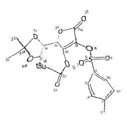 Cc1ccc(S(=O)(=O)OC2=C(OC(=O)C(C)(C)C)[C@H]([C@@H]3COC(C)(C)O3)OC2=O)cc1